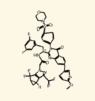 COc1ccc(-c2ccc3c(=O)n(-c4ccc(S(=O)(=O)N5CCOCC5)cc4)c([C@H](Cc4cc(F)cc(F)c4)NC(=O)Cn4nc(C(F)F)c5c4C(F)(F)C4C[C@@H]54)nc3c2)cn1